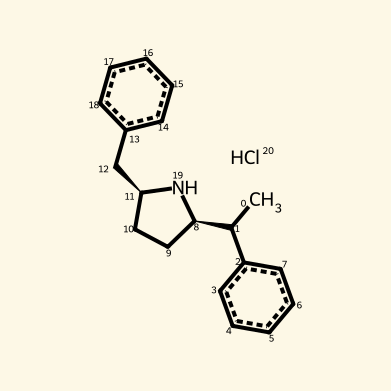 CC(c1ccccc1)[C@H]1CC[C@@H](Cc2ccccc2)N1.Cl